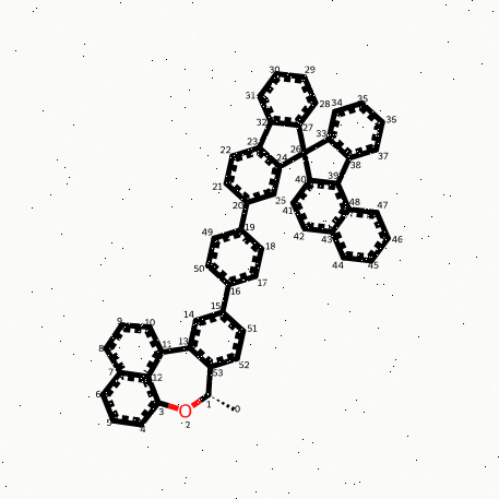 C[C@@H]1Oc2cccc3cccc(c23)-c2cc(-c3ccc(-c4ccc5c(c4)C4(c6ccccc6-5)c5ccccc5-c5c4ccc4ccccc54)cc3)ccc21